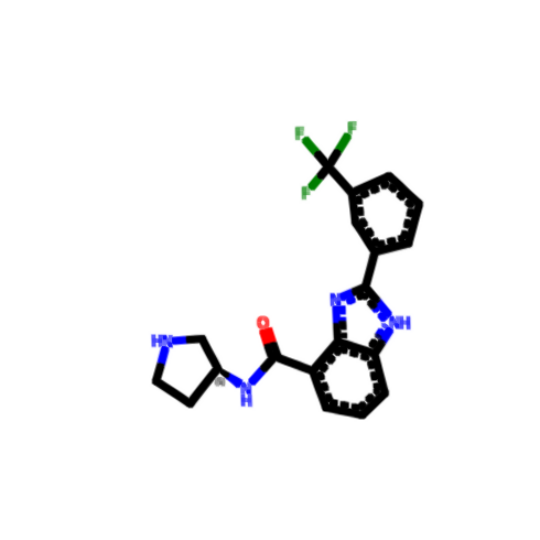 O=C(N[C@H]1CCNC1)c1cccc2[nH]c(-c3cccc(C(F)(F)F)c3)nc12